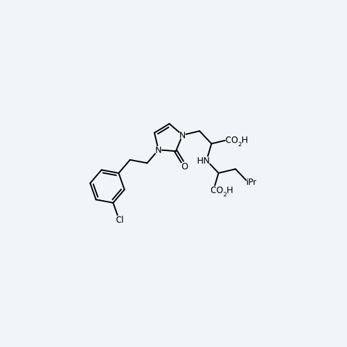 CC(C)CC(NC(Cn1ccn(CCc2cccc(Cl)c2)c1=O)C(=O)O)C(=O)O